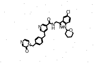 O=C(NCc1nn(C2CCCCO2)c2ccc(Cl)cc12)c1cncc(Cc2ccc(Cn3ccncc3=O)cc2)c1